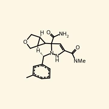 CNC(=O)C1=CC(C(N)=O)(C2[C@H]3COC[C@@H]23)N([C@@H](C)c2cccc(C)c2)N1